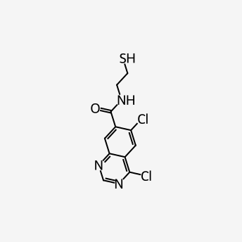 O=C(NCCS)c1cc2ncnc(Cl)c2cc1Cl